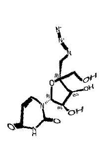 [N-]=[N+]=NC[C@]1(CO)O[C@@H](n2ccc(=O)[nH]c2=O)[C@H](O)[C@@H]1O